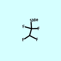 CSC(F)(F)C(F)F